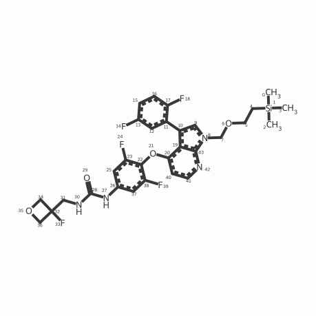 C[Si](C)(C)CCOCn1cc(-c2cc(F)ccc2F)c2c(Oc3c(F)cc(NC(=O)NCC4(F)COC4)cc3F)ccnc21